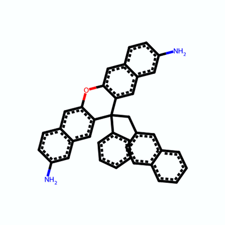 Nc1ccc2cc3c(cc2c1)C(Cc1ccc2ccccc2c1)(c1ccccc1)c1cc2cc(N)ccc2cc1O3